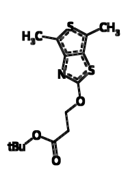 Cc1sc(C)c2sc(OCCC(=O)OC(C)(C)C)nc12